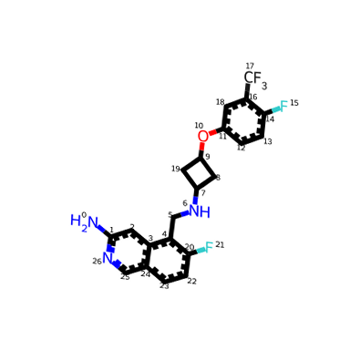 Nc1cc2c(CNC3CC(Oc4ccc(F)c(C(F)(F)F)c4)C3)c(F)ccc2cn1